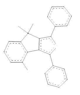 CC1(C)c2cccc(Cl)c2-c2c(-c3ccccc3)sc(-c3ccccc3)c21